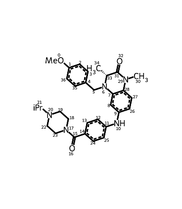 COc1ccc(CN2c3cc(Nc4ccc(C(=O)N5CCN(C(C)C)CC5)cc4)ccc3N(C)C(=O)[C@H]2C)cc1